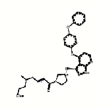 COCCN(C)C/C=C/C(=O)N1CC[C@@H](Nc2n[nH]c3nccc(Oc4ccc(Oc5ccccc5)cc4)c23)C1